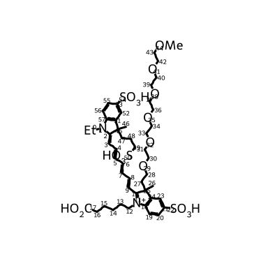 CCN1/C(=C/C=C/C=C/C=C/C2=[N+](CCCCCC(=O)O)c3ccc(S(=O)(=O)O)cc3C2(C)CCOCCOCCOCCOCCOCCOC)C(C)(CCCS(=O)(=O)O)c2cc(S(=O)(=O)O)ccc21